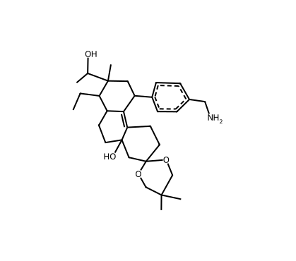 CCC1C2CCC3(O)CC4(CCC3=C2C(c2ccc(CN)cc2)CC1(C)C(C)O)OCC(C)(C)CO4